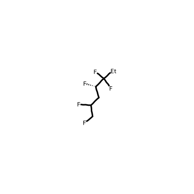 [CH2]CC(F)(F)[C@@H](F)CC(F)CF